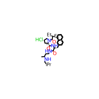 CCC(CC)C(=O)N1CCC[C@H]1C(=O)N[C@H](Cc1ccc2ccccc2c1)C(=O)NCCC(C)NCC(C)C.Cl